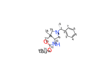 C[C@H](c1ccccc1)N1CC(NC(=O)OC(C)(C)C)C(C)(C)C1